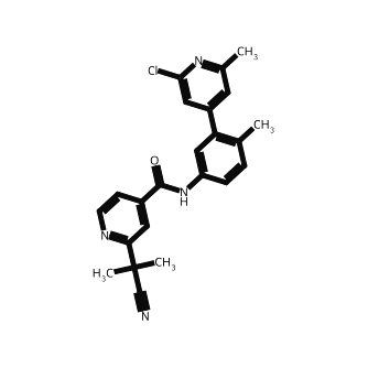 Cc1cc(-c2cc(NC(=O)c3ccnc(C(C)(C)C#N)c3)ccc2C)cc(Cl)n1